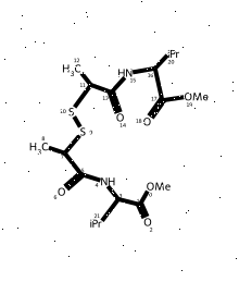 COC(=O)C(NC(=O)C(C)SSC(C)C(=O)NC(C(=O)OC)C(C)C)C(C)C